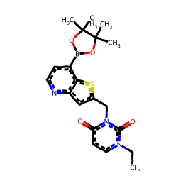 CC1(C)OB(c2ccnc3cc(Cn4c(=O)ccn(CC(F)(F)F)c4=O)sc23)OC1(C)C